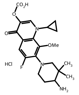 COc1c(N2CCC(N)C(C)(C)C2)c(F)cc2c(=O)c(OC(=O)O)cn(C3CC3)c12.Cl